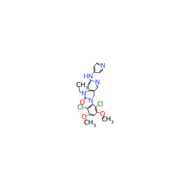 CCN1C(=O)N(c2c(Cl)c(OC)cc(OC)c2Cl)Cc2cnc(Nc3ccncc3)cc21